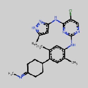 CN=C1CCC(c2cc(C)c(Nc3ncc(Cl)c(Nc4cc(C)[nH]n4)n3)cc2C)CC1